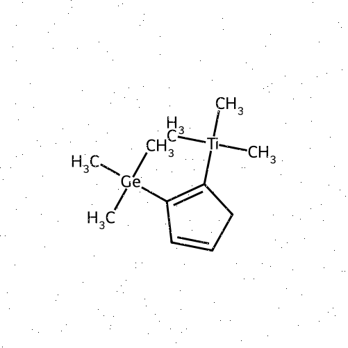 [CH3][Ti]([CH3])([CH3])[C]1=[C]([Ge]([CH3])([CH3])[CH3])C=CC1